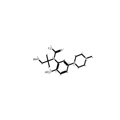 COCC(C)(C)N(C(=O)C(F)(F)F)c1cc(N2CCN(C)CC2)ccc1C(=O)O